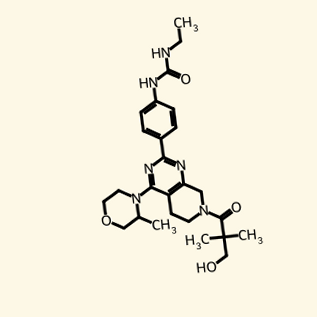 CCNC(=O)Nc1ccc(-c2nc3c(c(N4CCOCC4C)n2)CCN(C(=O)C(C)(C)CO)C3)cc1